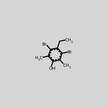 CCc1c(Br)c(C)c(O)c(C)c1Br